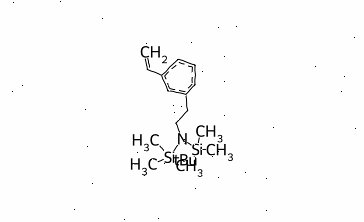 C=Cc1cccc(CCN([Si](C)(C)C)[Si](C)(C)C(C)(C)C)c1